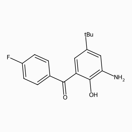 CC(C)(C)c1cc(N)c(O)c(C(=O)c2ccc(F)cc2)c1